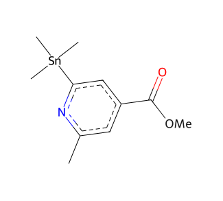 COC(=O)c1cc(C)n[c]([Sn]([CH3])([CH3])[CH3])c1